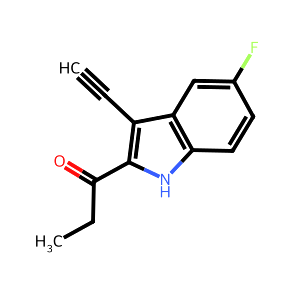 C#Cc1c(C(=O)CC)[nH]c2ccc(F)cc12